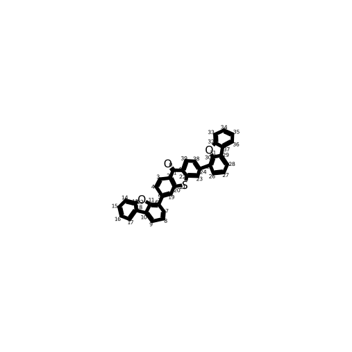 O=c1c2ccc(-c3cccc4c3oc3ccccc34)cc2sc2cc(-c3cccc4c3oc3ccccc34)ccc12